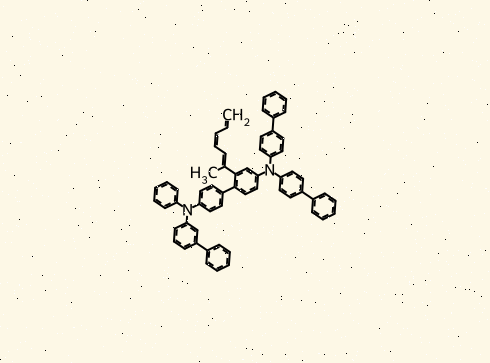 C=C/C=C\C=C(/C)c1cc(N(c2ccc(-c3ccccc3)cc2)c2ccc(-c3ccccc3)cc2)ccc1-c1ccc(N(c2ccccc2)c2cccc(-c3ccccc3)c2)cc1